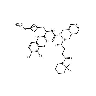 CC1(C)CCCCN1C(=O)CCC(=O)N1Cc2ccccc2C[C@H]1C(=O)NC(CC12CC(NC(=O)O)(C1)C2)C(=O)Nc1ccc(Cl)c(Cl)c1F